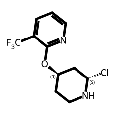 FC(F)(F)c1cccnc1O[C@@H]1CCN[C@@H](Cl)C1